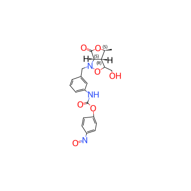 C[C@@H]1OC(=O)[C@@H]2[C@H]1C(CO)ON2Cc1cccc(NC(=O)Oc2ccc(N=O)cc2)c1